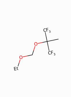 CCOCOC(C)(C(F)(F)F)C(F)(F)F